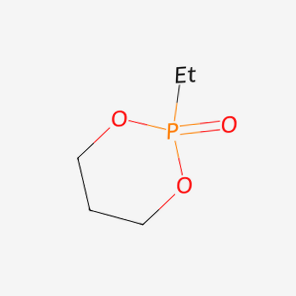 CCP1(=O)OCCCO1